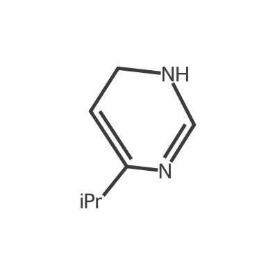 CC(C)C1=CCNC=N1